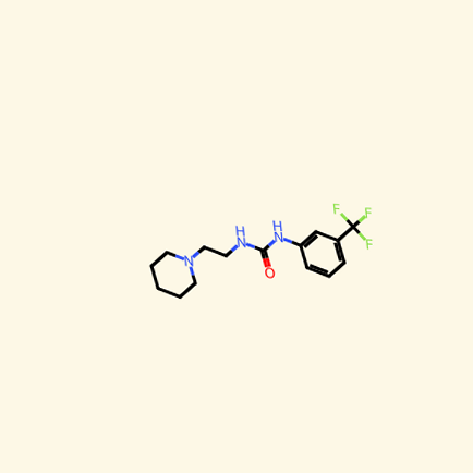 O=C(NCCN1CCCCC1)Nc1cccc(C(F)(F)F)c1